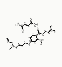 C=CCN(C)C/C=C/COc1ccc(C(=O)CCC=C(C)C)c(SC)c1.O=C(O)/C=C/C(=O)O